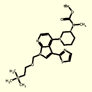 CN(C(=O)OC(C)(C)C)[C@H]1CCCN(c2ccnc3c2c(-c2nccs2)cn3COCC[Si](C)(C)C)C1